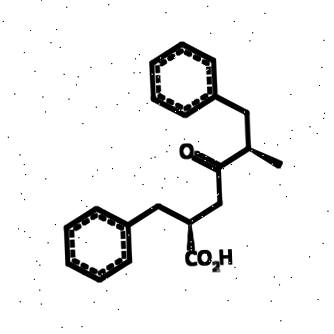 C[C@H](Cc1ccccc1)C(=O)C[C@H](Cc1ccccc1)C(=O)O